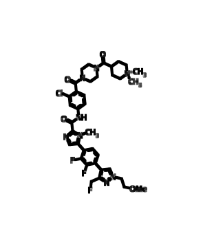 COCCn1cc(-c2ccc(-c3cnc(C(=O)Nc4ccc(C(=O)N5CCN(C(=O)C6CC[N+](C)(C)CC6)CC5)c(Cl)c4)n3C)c(F)c2F)c(CF)n1